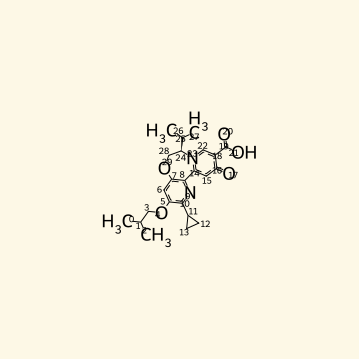 CC(C)COc1cc2c(nc1C1CC1)-c1cc(=O)c(C(=O)O)cn1[C@H](C(C)C)CO2